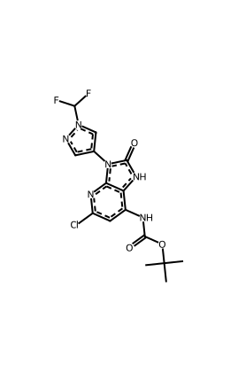 CC(C)(C)OC(=O)Nc1cc(Cl)nc2c1[nH]c(=O)n2-c1cnn(C(F)F)c1